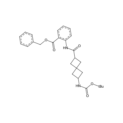 CC(C)(C)OC(=O)NC1CC2(C1)CC(C(=O)Nc1ccccc1C(=O)OCc1ccccc1)C2